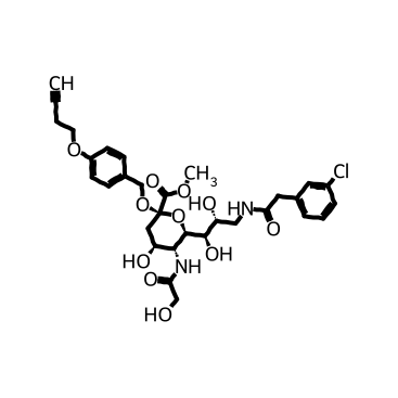 C#CCCOc1ccc(CO[C@]2(C(=O)OC)C[C@H](O)[C@@H](NC(=O)CO)[C@H]([C@H](O)[C@H](O)CNC(=O)Cc3cccc(Cl)c3)O2)cc1